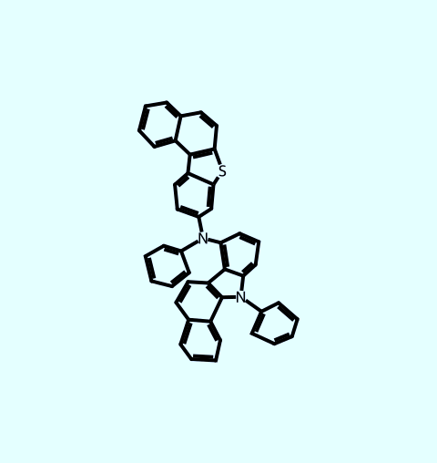 c1ccc(N(c2ccc3c(c2)sc2ccc4ccccc4c23)c2cccc3c2c2ccc4ccccc4c2n3-c2ccccc2)cc1